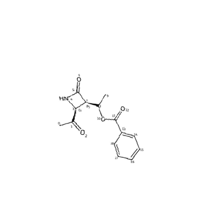 CC(=O)[C@H]1NC(=O)[C@H]1C(C)OC(=O)c1ccccc1